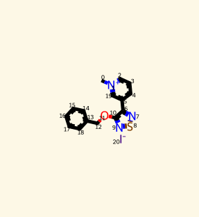 C[n+]1cccc(-c2nsnc2OCc2ccccc2)c1.[I-]